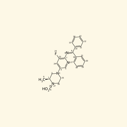 C[C@H]1CN(c2cnc(N=C(c3ccccc3)c3ccccc3)c(F)c2)CCN1C(=O)O